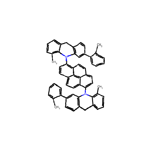 Cc1ccccc1-c1ccc2c(c1)N(c1ccc3ccc4c(N5c6cc(-c7ccccc7C)ccc6Cc6cccc(C)c65)ccc5ccc1c3c54)c1c(C)cccc1C2